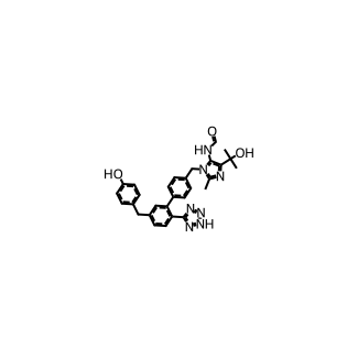 Cc1nc(C(C)(C)O)c(NC=O)n1Cc1ccc(-c2cc(Cc3ccc(O)cc3)ccc2-c2nn[nH]n2)cc1